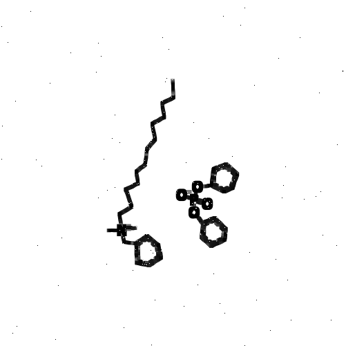 CCCCCCCCCCCCC[N+](C)(C)Cc1ccccc1.O=P([O-])(Oc1ccccc1)Oc1ccccc1